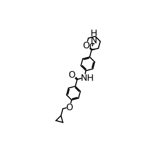 O=C(Nc1ccc(C23CCC(CO2)NC3)cc1)c1ccc(OCC2CC2)cc1